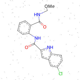 COCNC(=O)c1ccccc1NC(=O)c1cc2cc(Cl)ccc2[nH]1